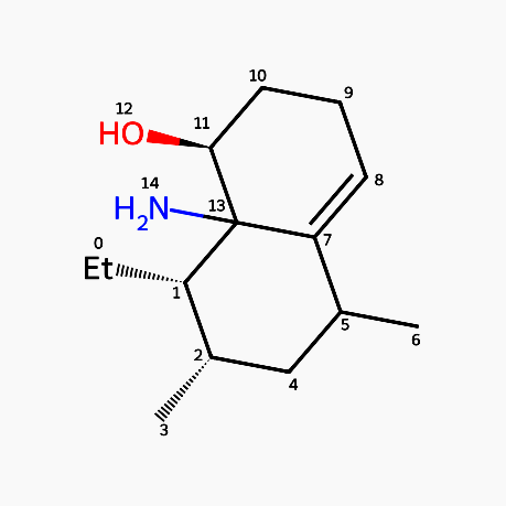 CC[C@H]1[C@@H](C)CC(C)C2=CCC[C@H](O)C21N